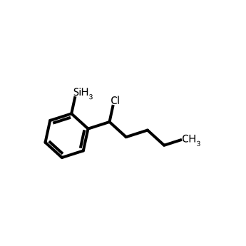 CCCCC(Cl)c1ccccc1[SiH3]